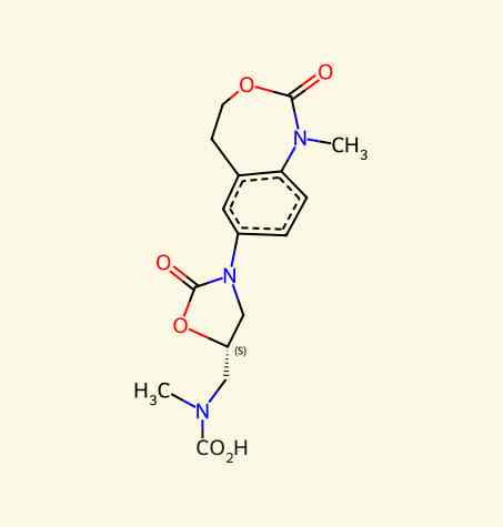 CN(C[C@H]1CN(c2ccc3c(c2)CCOC(=O)N3C)C(=O)O1)C(=O)O